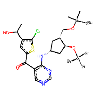 CC(O)c1cc(C(=O)c2cncnc2N[C@@H]2C[C@H](CO[Si](C)(C)C(C)(C)C)[C@@H](O[Si](C(C)C)(C(C)C)C(C)C)C2)sc1Cl